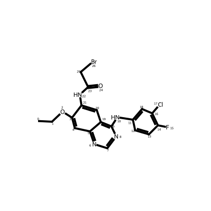 CCOc1cc2ncnc(Nc3ccc(F)c(Cl)c3)c2cc1NC(=O)CBr